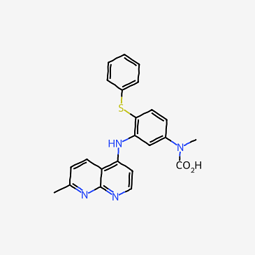 Cc1ccc2c(Nc3cc(N(C)C(=O)O)ccc3Sc3ccccc3)ccnc2n1